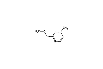 COCc1[c]c(C)ccn1